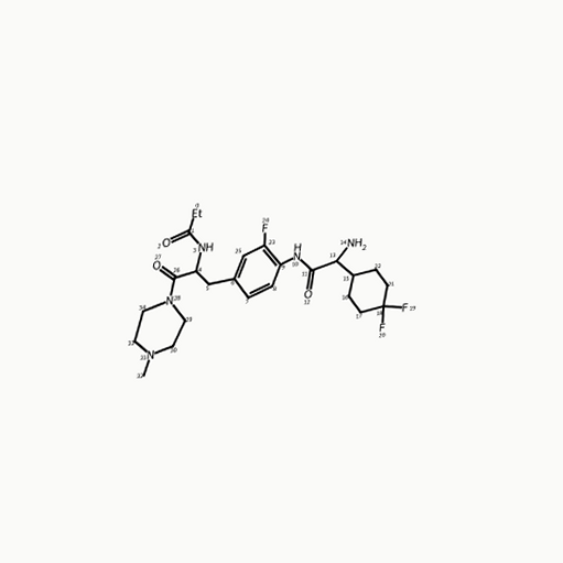 CCC(=O)NC(Cc1ccc(NC(=O)C(N)C2CCC(F)(F)CC2)c(F)c1)C(=O)N1CCN(C)CC1